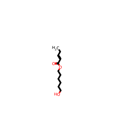 CCC=CC(=O)OCCCCCCO